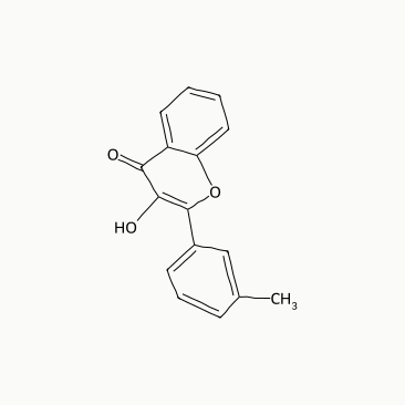 Cc1cccc(-c2oc3ccccc3c(=O)c2O)c1